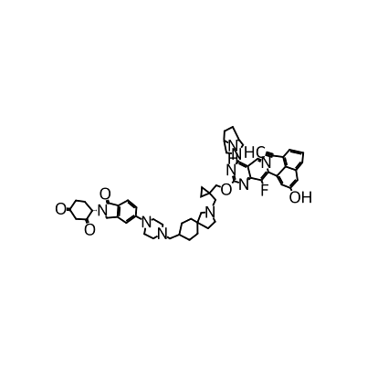 C#Cc1cccc2cc(O)cc(-c3ncc4c(N5CC6CCC(C5)N6)nc(OCC5(CN6CCC7(CCC(CN8CCN(c9ccc%10c(c9)CN([C@H]9CCC(=O)CC9=O)C%10=O)CC8)CC7)C6)CC5)nc4c3F)c12